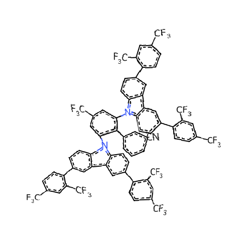 N#Cc1cccc(-c2c(-n3c4ccc(-c5ccc(C(F)(F)F)cc5C(F)(F)F)cc4c4cc(-c5ccc(C(F)(F)F)cc5C(F)(F)F)ccc43)cc(C(F)(F)F)cc2-n2c3ccc(-c4ccc(C(F)(F)F)cc4C(F)(F)F)cc3c3cc(-c4ccc(C(F)(F)F)cc4C(F)(F)F)ccc32)c1